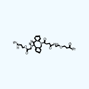 CC(C)NCCOC(=O)Cn1nnc2c1-c1ccccc1CN(C(=O)CCC(=O)NCCOCCC(=O)C(C)C)c1ccccc1-2